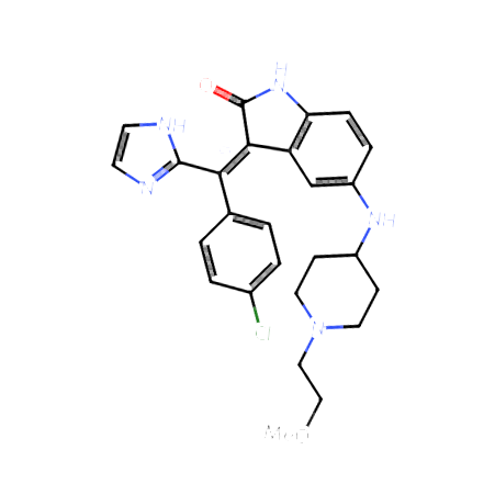 COCCN1CCC(Nc2ccc3c(c2)/C(=C(\c2ccc(Cl)cc2)c2ncc[nH]2)C(=O)N3)CC1